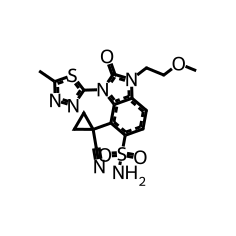 COCCn1c(=O)n(-c2nnc(C)s2)c2c(C3(C#N)CC3)c(S(N)(=O)=O)ccc21